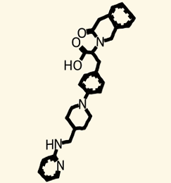 O=C(O)C(Cc1ccc(N2CCC(CNc3ccccn3)CC2)cc1)N1Cc2ccccc2CC1=O